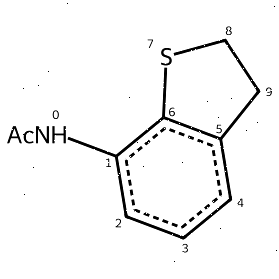 CC(=O)Nc1cccc2c1SCC2